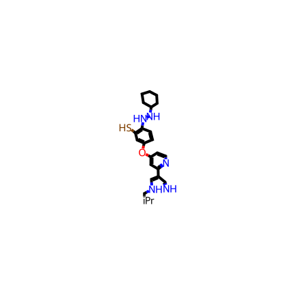 CC(C)CN/C=C(\C=N)c1cc(Oc2ccc(NNC3CCCCC3)c(S)c2)ccn1